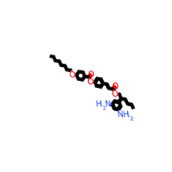 CCCCCCCCOC1CCC(C(=O)Oc2ccc(/C=C/C(=O)OCC(CCCC)c3cc(N)cc(N)c3)cc2)CC1